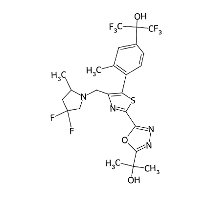 Cc1cc(C(O)(C(F)(F)F)C(F)(F)F)ccc1-c1sc(-c2nnc(C(C)(C)O)o2)nc1CN1CC(F)(F)CC1C